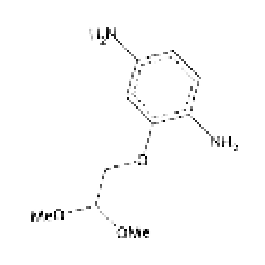 COC(COc1cc(N)ccc1N)OC